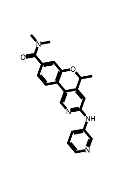 CC1Oc2cc(C(=O)N(C)C)ccc2-c2cnc(Nc3cccnc3)cc21